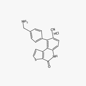 Cl.N#Cc1ccc2[nH]c(=O)c3sccc3c2c1-c1ccc(CN)cc1